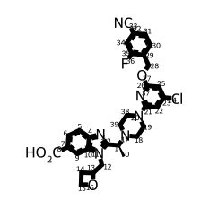 C[C@@H](c1nc2ccc(C(=O)O)cc2n1CC1CCO1)N1CCN(c2cc(Cl)cc(OCc3ccc(C#N)cc3F)n2)CC1